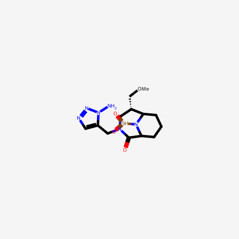 COC[C@H]1CN(Cc2cnnn2N)C(=O)C2CCCC1N2[SH](=O)=O